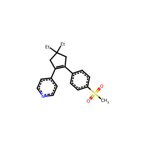 CCC1(CC)CC(c2ccncc2)=C(c2ccc(S(C)(=O)=O)cc2)C1